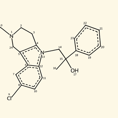 CN1CCc2c(c3cc(Cl)ccc3n2CC(C)(O)c2ccccc2)C1